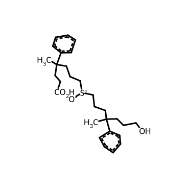 CC(CCCO)(CCC[S+]([O-])CCCC(C)(CCC(=O)O)c1ccccc1)c1ccccc1